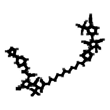 CC(C)(C)C(NC(=O)COCCCOCCCCOc1ccc(N2C(=S)N(c3cnc(C#N)c(C(F)(F)F)c3)C(=O)C2(C)C)cc1)C(=O)N1C[C@H](O)C[C@H]1C(=O)NCc1ccc(-c2cncs2)cc1